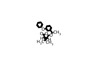 C[C@H](O[C@@H]1OC(=O)[C@@H]2[C@H]1C2(C)C)c1cccc(Oc2ccccc2)c1